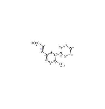 Cc1ccc(/C=C/C(=O)O)cc1N1CCOCC1